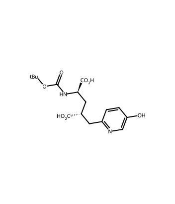 CC(C)(C)OC(=O)N[C@H](C[C@H](Cc1ccc(O)cn1)C(=O)O)C(=O)O